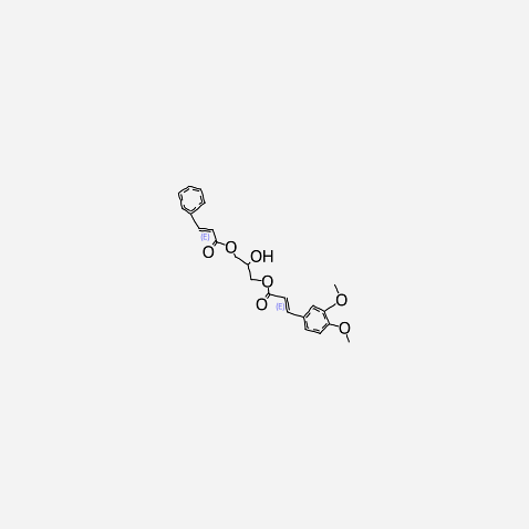 COc1ccc(/C=C/C(=O)OCC(O)COC(=O)/C=C/c2ccccc2)cc1OC